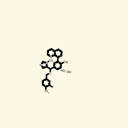 Cl.Cl.Cn1cncc1C(OCc1ccc(C(F)(F)F)c(F)c1)c1ccc(C#N)c(-c2cccc3cccnc23)c1